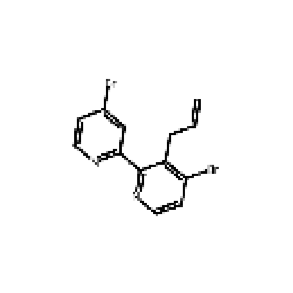 C=CCc1c(Br)ccnc1-c1cc(Br)ccn1